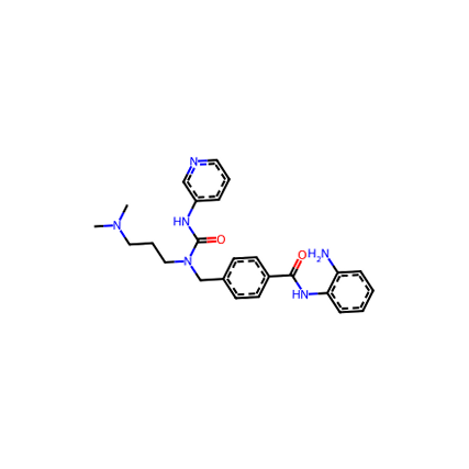 CN(C)CCCN(Cc1ccc(C(=O)Nc2ccccc2N)cc1)C(=O)Nc1cccnc1